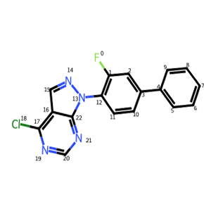 Fc1cc(-c2ccccc2)ccc1-n1ncc2c(Cl)ncnc21